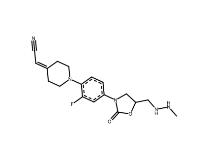 CNNCC1CN(c2ccc(N3CCC(=CC#N)CC3)c(F)c2)C(=O)O1